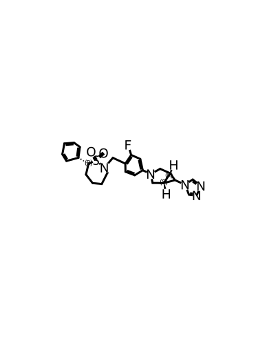 O=S1(=O)[C@@H](c2ccccc2)CCCCN1Cc1ccc(N2C[C@@H]3C(n4cnnc4)[C@@H]3C2)cc1F